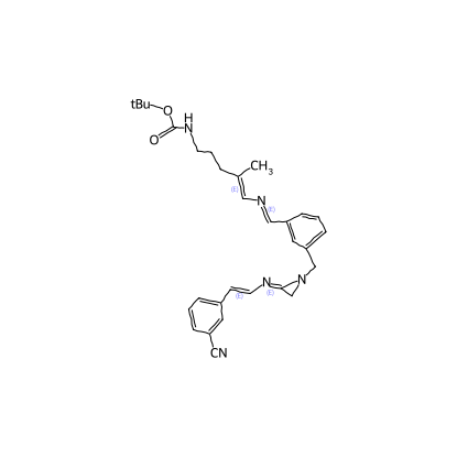 C/C(=C\N=C\c1cccc(CN2C/C2=N\C=C\c2cccc(C#N)c2)c1)CCCNC(=O)OC(C)(C)C